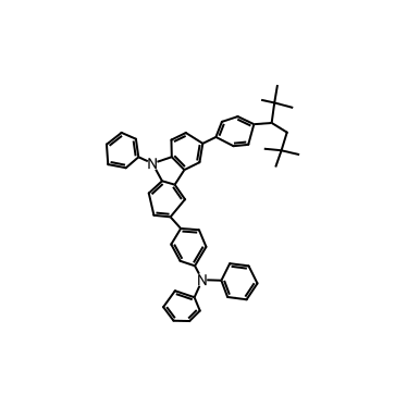 CC(C)(C)CC(c1ccc(-c2ccc3c(c2)c2cc(-c4ccc(N(c5ccccc5)c5ccccc5)cc4)ccc2n3-c2ccccc2)cc1)C(C)(C)C